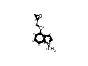 Cn1ccc2c(OC[C@H]3CO3)cccc21